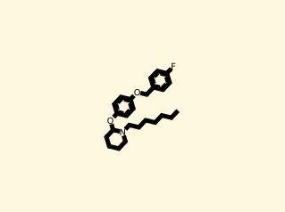 CCCCCCCN1CCCCC1Oc1ccc(OCc2ccc(F)cc2)cc1